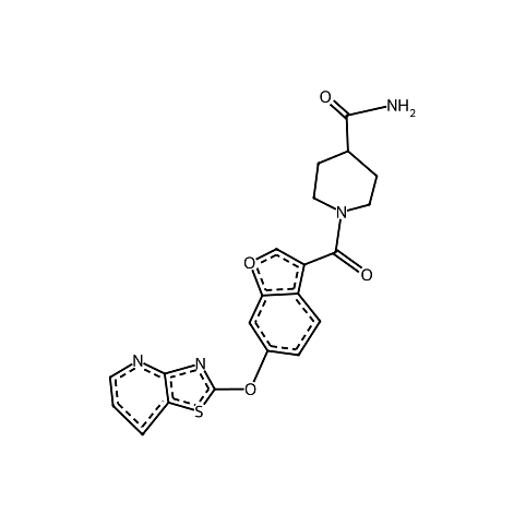 NC(=O)C1CCN(C(=O)c2coc3cc(Oc4nc5ncccc5s4)ccc23)CC1